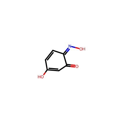 O=C1C=C(O)C=CC1=NO